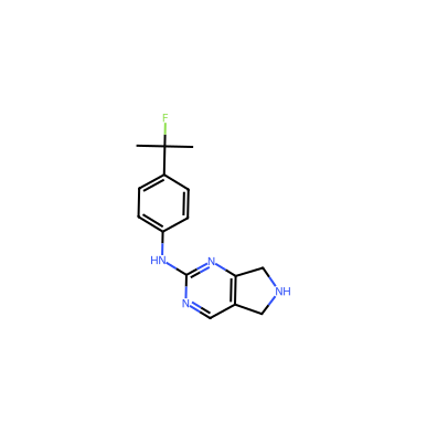 CC(C)(F)c1ccc(Nc2ncc3c(n2)CNC3)cc1